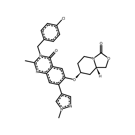 Cc1nc2cc(-c3cnn(C)c3)c(O[C@H]3CCN4C(=O)OC[C@@H]4C3)cc2c(=O)n1Cc1ccc(Cl)cc1